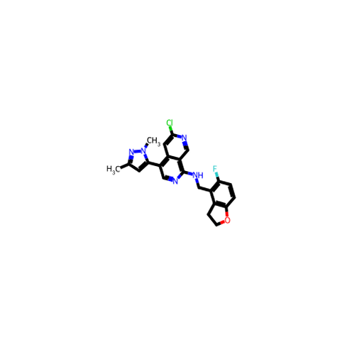 Cc1cc(-c2cnc(NCc3c(F)ccc4c3CCO4)c3cnc(Cl)cc23)n(C)n1